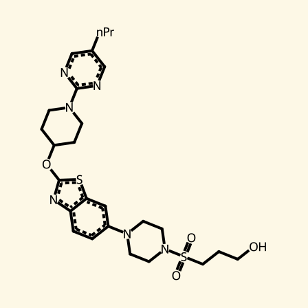 CCCc1cnc(N2CCC(Oc3nc4ccc(N5CCN(S(=O)(=O)CCCO)CC5)cc4s3)CC2)nc1